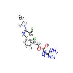 CCC1CN(c2ncc(-c3cccc(COC(=O)NC(=N)N)c3F)cc2F)C1